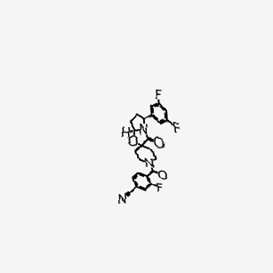 N#Cc1ccc(C(=O)N2CCC3(CC2)O[C@@H]2CC[C@@H](c4cc(F)cc(F)c4)N2C3=O)c(F)c1